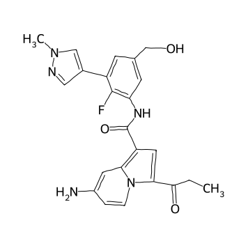 CCC(=O)c1cc(C(=O)Nc2cc(CO)cc(-c3cnn(C)c3)c2F)c2cc(N)ccn12